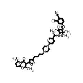 CC1OC2CC[C@@H](C)N2C(=O)C1c1cc(CCCCN2CCN(c3ccc(C(=O)N[C@H]4C(C)(C)[C@H](Oc5ccc(C#N)c(Cl)c5)C4(C)C)cn3)CC2)no1